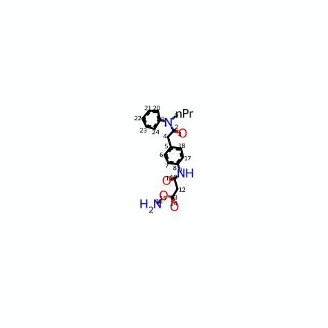 CCCN(C(=O)Cc1ccc(NC(=O)CC(=O)ON)cc1)c1ccccc1